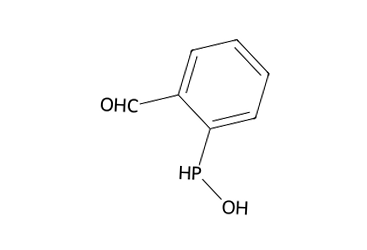 O=Cc1ccccc1PO